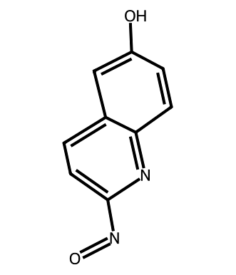 O=Nc1ccc2cc(O)ccc2n1